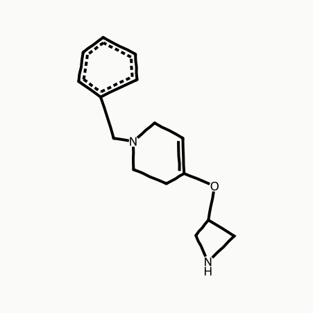 C1=C(OC2CNC2)CCN(Cc2ccccc2)C1